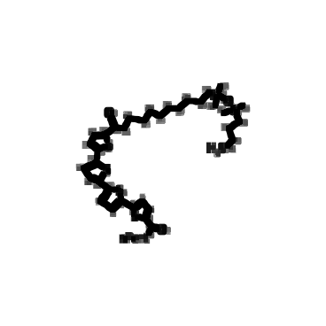 CCCCCC(=O)c1ccc(-c2ccc(-c3ccc(-c4ccc(C(=O)CCCCCCCCCC[Si](C)(C)O[Si](C)(C)CCC[SiH3])s4)s3)s2)s1